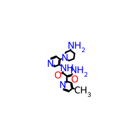 Cc1ccnc2c(C(=O)Nc3cnccc3N3CCCC(N)C3)c(N)oc12